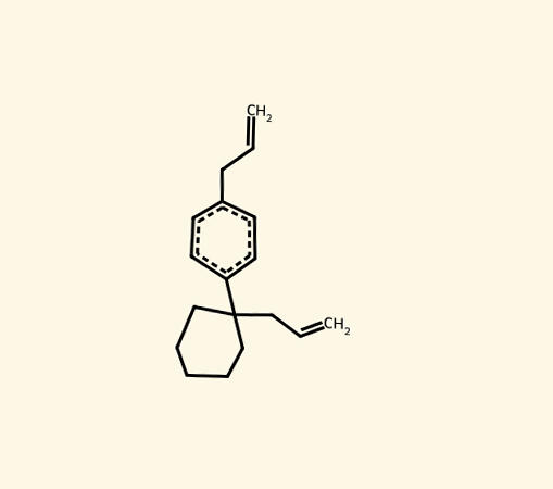 C=CCc1ccc(C2(CC=C)CCCCC2)cc1